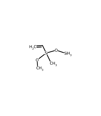 C=C[Si](C)(OC)O[SiH3]